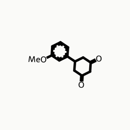 COc1cccc(C2CC(=O)CC(=O)C2)c1